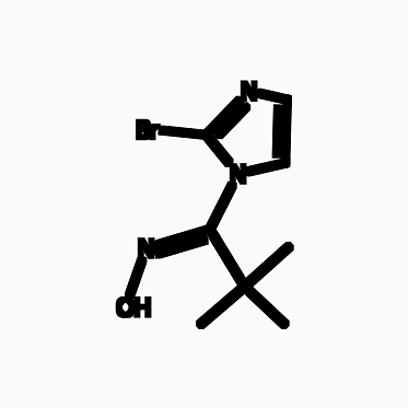 CC(C)(C)C(=NO)n1ccnc1Br